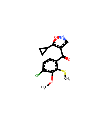 COc1c(Cl)ccc(C(=O)c2cnoc2C2CC2)c1SC